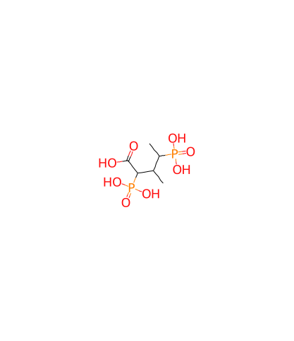 CC(C(C)P(=O)(O)O)C(C(=O)O)P(=O)(O)O